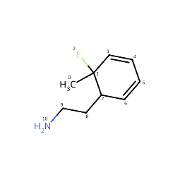 CC1(F)C=CC=CC1CCN